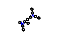 c1ccc(-c2ccc(N(c3ccc(-c4ccccc4)cc3)c3ccc(-c4ccc(-c5ccc(N(c6ccccc6)c6ccc(-c7ccccc7)cc6)cc5-c5ccccc5)cc4)cc3)cc2)cc1